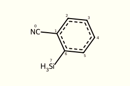 N#Cc1ccccc1[SiH3]